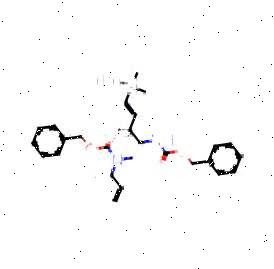 C=C[C@H](C)N(C[C@@H](NC(=O)OCc1ccccc1)[C@@H](C)/C=C/[Si](C)(C)C(C)(C)C)C(=O)OCc1ccccc1